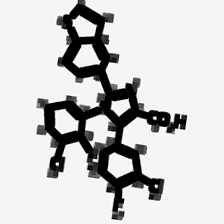 O=C(O)c1nc(-c2ccc3sccc3c2)n(-c2cccc(Cl)c2F)c1-c1ccc(F)c(Cl)c1